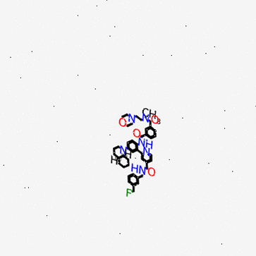 CN(CCN1CCOCC1)C(=O)c1cccc(C(=O)Nc2ccc(N3CCC[C@H]4CCCC[C@@H]43)cc2-c2cc(C(=O)NCc3cccc(CF)c3)ccn2)c1